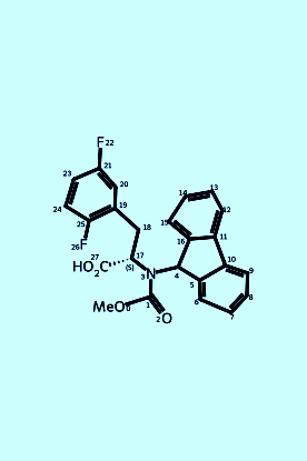 COC(=O)N(C1c2ccccc2-c2ccccc21)[C@@H](Cc1cc(F)ccc1F)C(=O)O